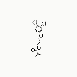 C=C(C)C(=O)OCCCOc1ccc(Cl)c(Cl)c1